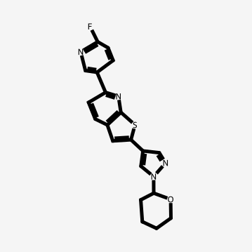 Fc1ccc(-c2ccc3cc(-c4cnn(C5CCCCO5)c4)sc3n2)cn1